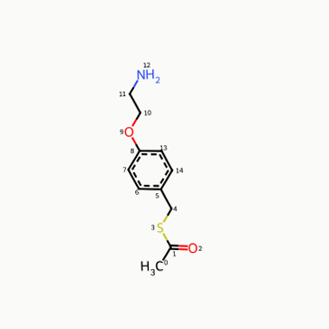 CC(=O)SCc1ccc(OCCN)cc1